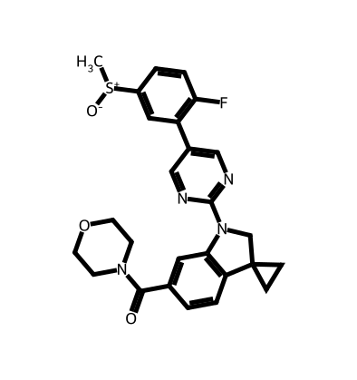 C[S+]([O-])c1ccc(F)c(-c2cnc(N3CC4(CC4)c4ccc(C(=O)N5CCOCC5)cc43)nc2)c1